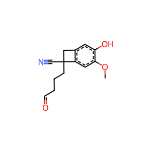 COc1cc2c(cc1O)CC2(C#N)CCCC=O